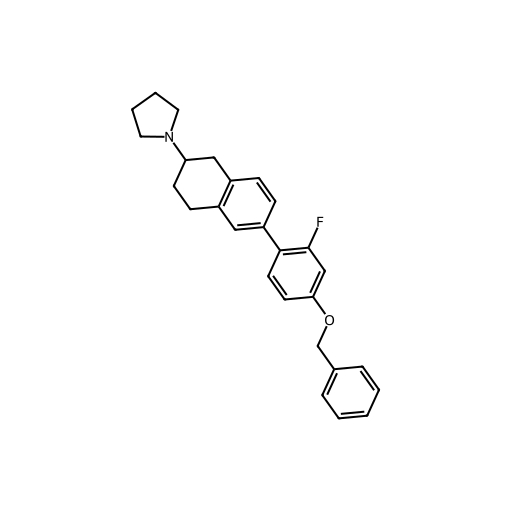 Fc1cc(OCc2ccccc2)ccc1-c1ccc2c(c1)CCC(N1CCCC1)C2